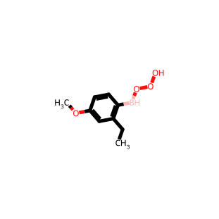 CCc1cc(OC)ccc1BOOO